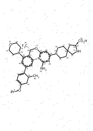 CC(C)OC1=CC=C(c2ccc([C@@H](Oc3cc(N4CCC5(CC4)CN[C@H](C(=O)O)C5)nc(N)n3)C(F)(F)F)c(N3CCOCC3)c2)C(C)C1